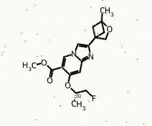 COC(=O)c1cn2cc(C34COC(C)(C3)C4)nc2cc1O[C@@H](C)CF